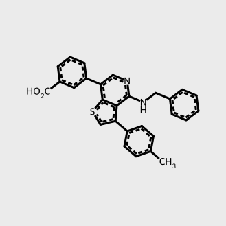 Cc1ccc(-c2csc3c(-c4cccc(C(=O)O)c4)cnc(NCc4ccccc4)c23)cc1